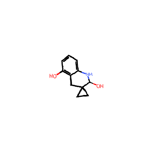 Oc1cccc2c1CC1(CC1)C(O)N2